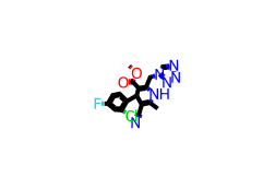 COC(=O)C1=C(Cn2cnnn2)NC(C)=C(C#N)C1c1ccc(F)cc1Cl